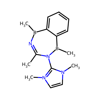 CB1N=C(C)N(c2n(C)cc[n+]2C)B(C)c2ccccc21